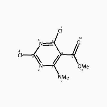 CNc1nc(Cl)nc(Cl)c1C(=O)OC